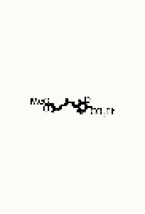 CCOC(=O)CC1CC(C)(C)C(C=CC(C)=CC=CC(C)=CC(=O)OC)=C(C)C1=O